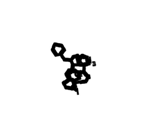 C\C=C/C(=C\c1ccccc1)C1=C(/C)C\C=C(CI)/C=C\C=C(/C2=Cc3ccccc3CC=C2)c2ccccc2\1